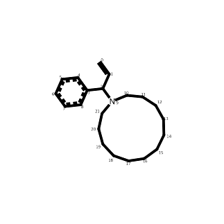 C=CC(c1ccccc1)N1CCCCCCCCCCCC1